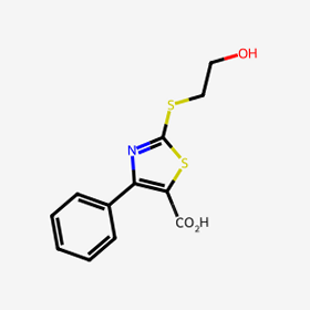 O=C(O)c1sc(SCCO)nc1-c1ccccc1